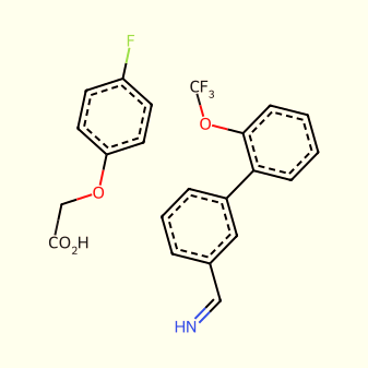 N=Cc1cccc(-c2ccccc2OC(F)(F)F)c1.O=C(O)COc1ccc(F)cc1